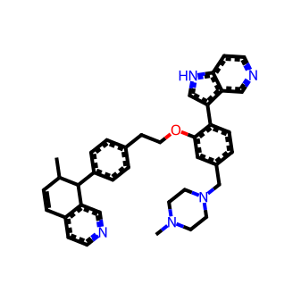 CC1C=Cc2ccncc2C1c1ccc(CCOc2cc(CN3CCN(C)CC3)ccc2-c2c[nH]c3ccncc23)cc1